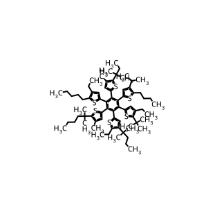 CCCCCc1sc(-c2c(-c3cc(C)c(C(C)(C)CC)s3)c(-c3cc(C(C)C)c(CCCC)s3)c(-c3cc(CC)c(C(C)(C)C)s3)c(-c3cc(C(C)(C)CCC)c(CC)s3)c2-c2cc(C)c(C(C)(C)CCCC)s2)cc1CC